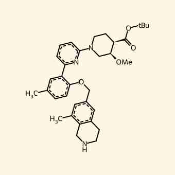 CO[C@H]1CN(c2cccc(-c3cc(C)ccc3OCc3cc(C)c4c(c3)CCNC4)n2)CC[C@H]1C(=O)OC(C)(C)C